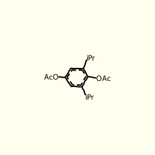 CC(=O)Oc1cc(C(C)C)c(OC(C)=O)c(C(C)C)c1